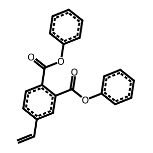 C=Cc1ccc(C(=O)Oc2ccccc2)c(C(=O)Oc2ccccc2)c1